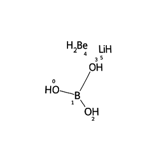 OB(O)O.[BeH2].[LiH]